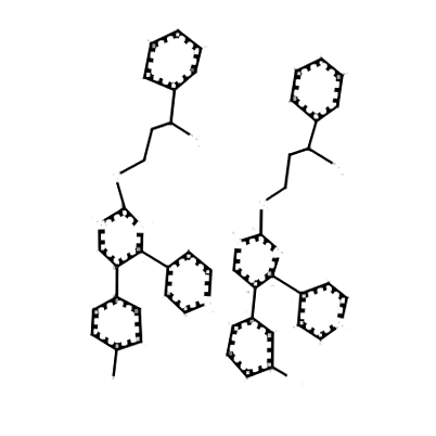 NC(CCNc1ncc(-c2ccc(F)cc2)c(-c2ccncc2)n1)c1ccccc1.NC(CCNc1ncc(-c2cccc(C(F)(F)F)c2)c(-c2ccncc2)n1)c1ccccc1